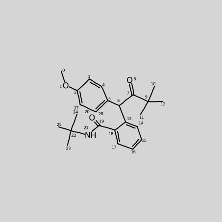 COc1ccc(C(C(=O)C(C)(C)C)c2ccccc2C(=O)NC(C)(C)C)cc1